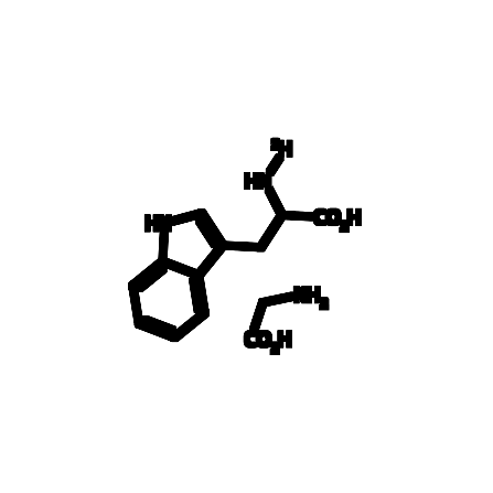 NCC(=O)O.[2H]NC(Cc1c[nH]c2ccccc12)C(=O)O